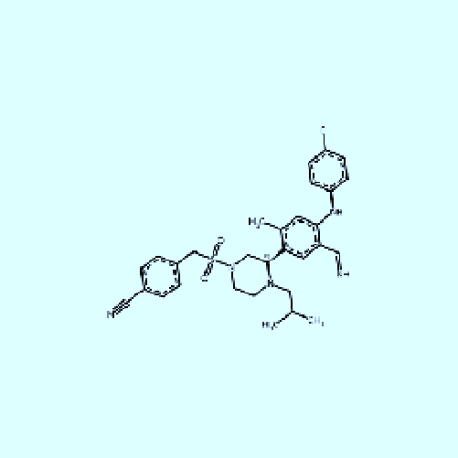 Cc1cc(Nc2ccc(F)cc2)c(C=N)cc1[C@@H]1CN(S(=O)(=O)Cc2ccc(C#N)cc2)CCN1CC(C)C